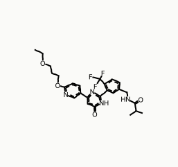 CCOCCCOc1ccc(-c2cc(=O)[nH]c(-c3cc(CNC(=O)C(C)C)ccc3C(F)(F)F)n2)cn1